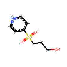 O=S(=O)(CCCO)c1ccncc1